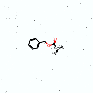 [13CH2]=[13C]([13CH3])C(=O)OCc1ccccc1